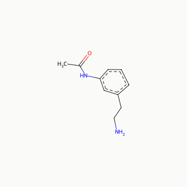 CC(=O)Nc1cccc(CCN)c1